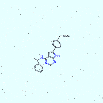 CNCc1ccc(-c2cc3c(NC(C)c4ccccc4)ncnc3[nH]2)cc1